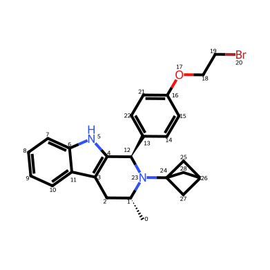 C[C@@H]1Cc2c([nH]c3ccccc23)[C@@H](c2ccc(OCCBr)cc2)N1C12CC(C1)C2